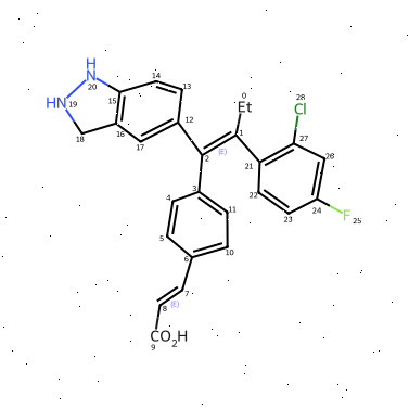 CC/C(=C(/c1ccc(/C=C/C(=O)O)cc1)c1ccc2c(c1)CNN2)c1ccc(F)cc1Cl